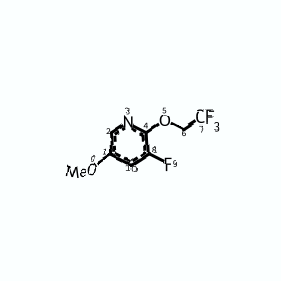 COc1cnc(OCC(F)(F)F)c(F)c1